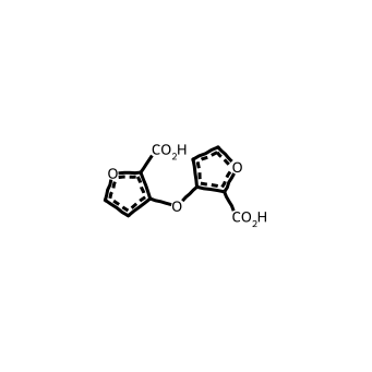 O=C(O)c1occc1Oc1ccoc1C(=O)O